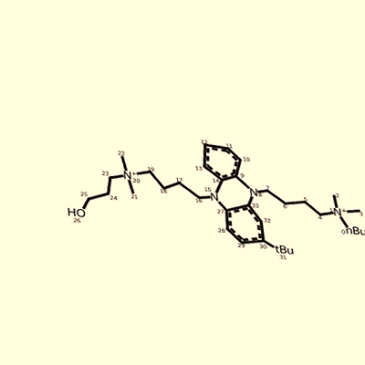 CCCC[N+](C)(C)CCCCN1c2ccccc2N(CCCC[N+](C)(C)CCCO)c2ccc(C(C)(C)C)cc21